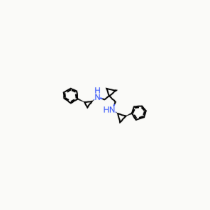 c1ccc([C@H]2C[C@@H]2NCC2(CN[C@@H]3C[C@H]3c3ccccc3)CC2)cc1